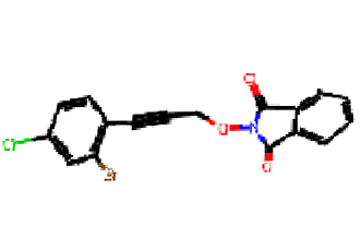 O=C1c2ccccc2C(=O)N1OCC#Cc1ccc(Cl)cc1Br